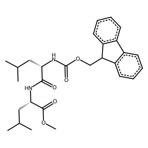 COC(=O)[C@H](CC(C)C)NC(=O)[C@H](CC(C)C)NC(=O)OCC1c2ccccc2-c2ccccc21